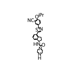 CC(C)Oc1ccc(-c2ncc(-c3cccc4c3CCC4NC(=O)N3CCNCC3)s2)cc1C#N